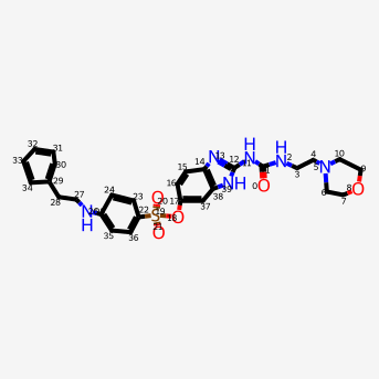 O=C(NCCN1CCOCC1)Nc1nc2ccc(OS(=O)(=O)c3ccc(NCCc4ccccc4)cc3)cc2[nH]1